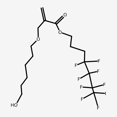 C=C(COCCCCCCO)C(=O)OCCCC(F)(F)C(F)(F)C(F)(F)C(F)(F)I